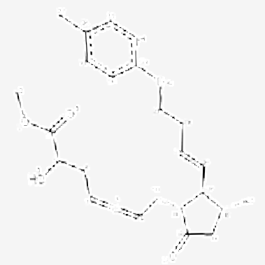 COC(=O)C(O)CC=C=CC[C@H]1C(=O)C[C@@H](C)[C@@H]1/C=C/CCOc1ccc(C)cc1